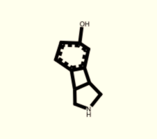 Oc1ccc2c(c1)C1CNCC21